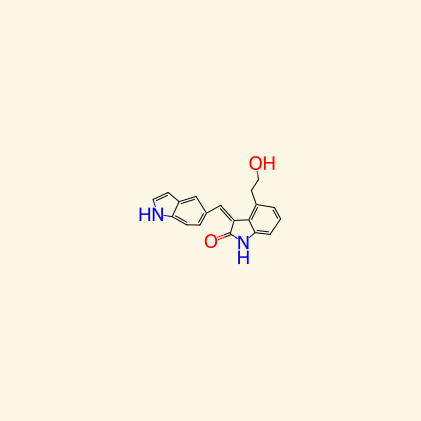 O=C1Nc2cccc(CCO)c2/C1=C/c1ccc2[nH]ccc2c1